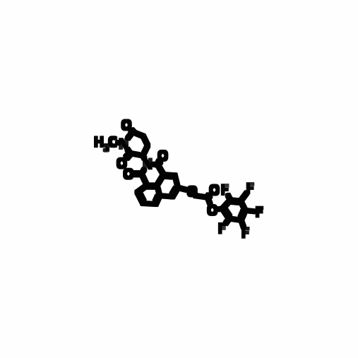 CN1C(=O)CCC(N2C(=O)c3cccc4cc(OCC(=O)Oc5c(F)c(F)c(F)c(F)c5F)cc(c34)C2=O)C1=O